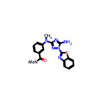 CNC(=O)c1cccc(N(C)c2nc(N)n(-c3nc4ccccc4s3)n2)c1